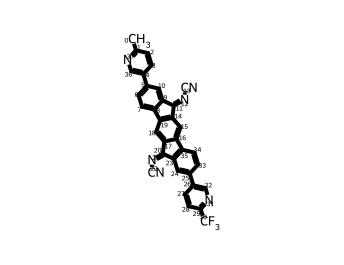 Cc1ccc(-c2ccc3c(c2)/c(=N\C#N)c2cc4c(cc23)/c(=N/C#N)c2cc(-c3ccc(C(F)(F)F)nc3)ccc24)cn1